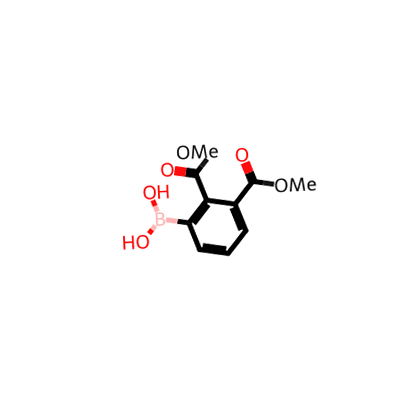 COC(=O)c1cccc(B(O)O)c1C(=O)OC